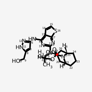 CN(c1nc(Nc2cc(CO)[nH]n2)c2ccsc2n1)[C@@H]1C[C@H]2CCC[C@@H](C1)N2C(=O)OC(C)(C)C